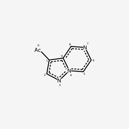 CC(=O)c1cnn2ccncc12